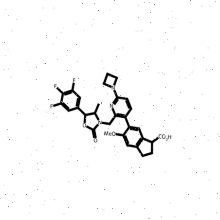 COc1cc2c(cc1-c1ccc(N3CCC3)nc1CN1C(=O)OC(c3cc(F)c(F)c(F)c3)C1C)C(C(=O)O)CC2